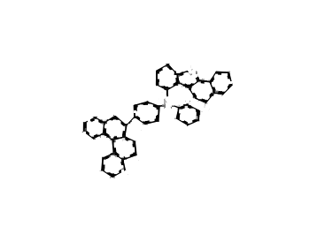 c1ccc(N(c2ccc(-c3cc4ccccc4c4c3ccc3ccccc34)cc2)c2cccc3sc4c5ccccc5ccc4c23)cc1